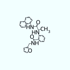 CC(Nc1ccccc1C(=O)NCc1ccco1)C(=O)Nc1cccc2ccccc12